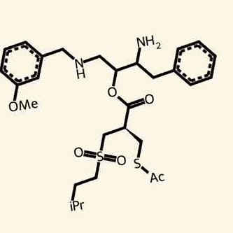 COc1cccc(CNCC(OC(=O)[C@@H](CSC(C)=O)CS(=O)(=O)CCC(C)C)C(N)Cc2ccccc2)c1